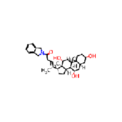 C[C@H](CCC(=O)N1Cc2ccccc2C1)[C@H]1CC[C@H]2[C@@H]3[C@H](O)C[C@@H]4C[C@H](O)CC[C@]4(C)[C@H]3C[C@H](O)[C@]12C